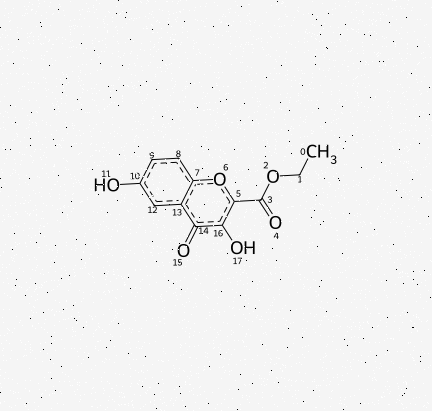 CCOC(=O)c1oc2ccc(O)cc2c(=O)c1O